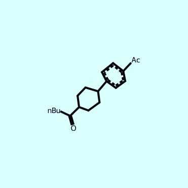 CCCCC(=O)C1CCC(c2ccc(C(C)=O)cc2)CC1